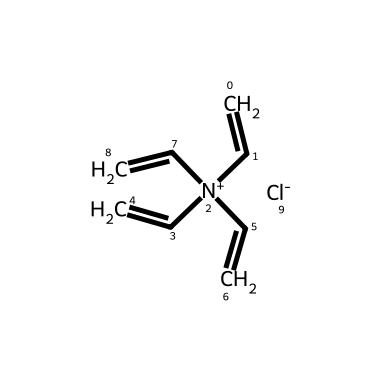 C=C[N+](C=C)(C=C)C=C.[Cl-]